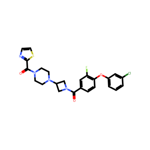 O=C(c1ccc(Oc2cccc(Cl)c2)c(F)c1)N1CC(N2CCN(C(=O)c3nccs3)CC2)C1